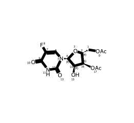 CC(=O)OC[C@H]1O[C@@H](n2cc(F)c(=O)[nH]c2=O)[C@H](O)[C@@H]1OC(C)=O